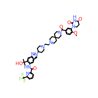 COc1ccc(C(=O)N2CCC3(CCN(CCN4CCC(n5cc6cc(NC(=O)c7cccc(C(F)(F)F)n7)c(C(C)(C)O)cc6n5)CC4)CC3)CC2)cc1N1CCC(=O)NC1=O